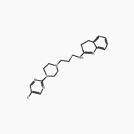 Fc1cnc(N2CCN(CCCNC3=Nc4ccccc4CC3)CC2)nc1